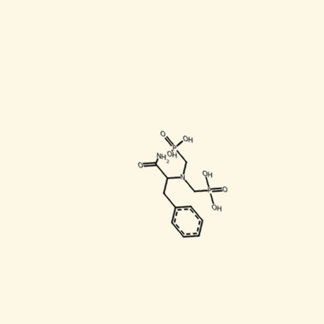 NC(=O)C(Cc1ccccc1)N(CP(=O)(O)O)CP(=O)(O)O